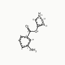 Nc1cccc(C(=O)Oc2c[nH]nn2)c1